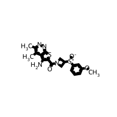 COc1cccc([S+]([O-])C2CN(C(=O)c3sc4nnc(C)c(C)c4c3N)C2)c1